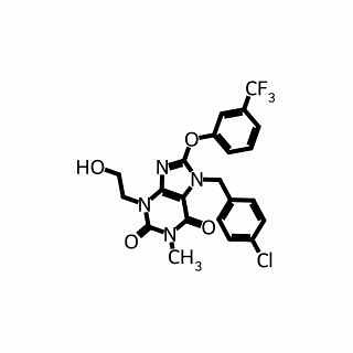 Cn1c(=O)c2c(nc(Oc3cccc(C(F)(F)F)c3)n2Cc2ccc(Cl)cc2)n(CCO)c1=O